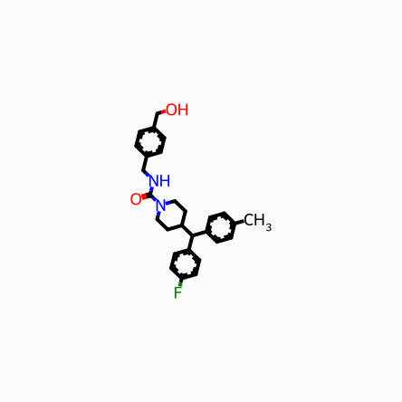 Cc1ccc(C(c2ccc(F)cc2)C2CCN(C(=O)NCc3ccc(CO)cc3)CC2)cc1